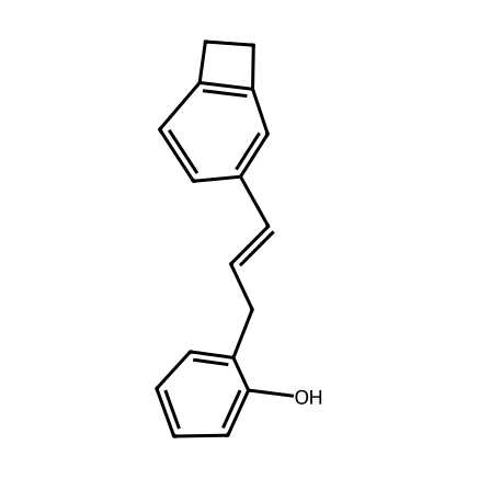 Oc1ccccc1CC=Cc1ccc2c(c1)CC2